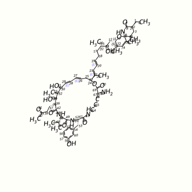 CC[C@H]1C[C@H](C)[C@]2(NC1=O)O[C@@H](C[C@H](O)[C@@H](C)CC/C=C/C=C(\C)[C@@H]1C/C=C/C=C/[C@H](O)[C@H](C)[C@@H](O)[C@@H](CCC(C)=O)C(=O)N[C@@H](C(C)C)C(=O)N[C@@H](Cc3cccc(O)c3)C(=O)NCCC[C@H](N)C(=O)O1)[C@H](C)C=C2C